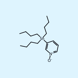 CCC[CH2][Sn]([CH2]CCC)([CH2]CCC)[c]1ccc[n+]([O-])c1